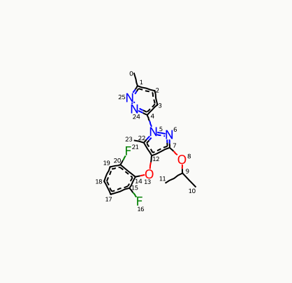 Cc1ccc(-n2nc(OC(C)C)c(Oc3c(F)cccc3F)c2C)nn1